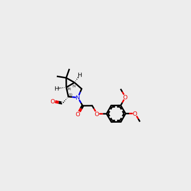 COc1ccc(OCC(=O)N2C[C@H]3[C@@H]([C@H]2C=O)C3(C)C)cc1OC